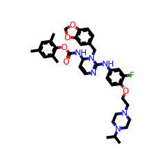 Cc1cc(C)c(OC(=O)NC2C=CN=C(Nc3ccc(OCCN4CCN(C(C)C)CC4)c(F)c3)N2Cc2ccc3c(c2)OCO3)c(C)c1